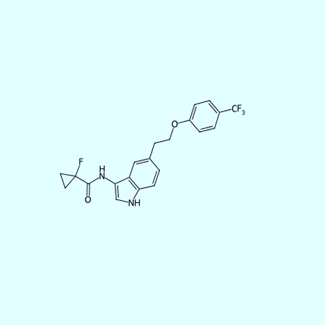 O=C(Nc1c[nH]c2ccc(CCOc3ccc(C(F)(F)F)cc3)cc12)C1(F)CC1